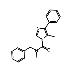 Cc1c(-c2ccccc2)ncn1C(=O)N(C)Cc1ccccc1